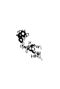 CN(CCNC(=O)[C@H](CCCNC(=N)N)NC(=O)CN)C(=O)Oc1ccc2c3c1O[C@H]1C(=O)CC[C@@]4(O)[C@@H](C2)N(C)CC[C@]314